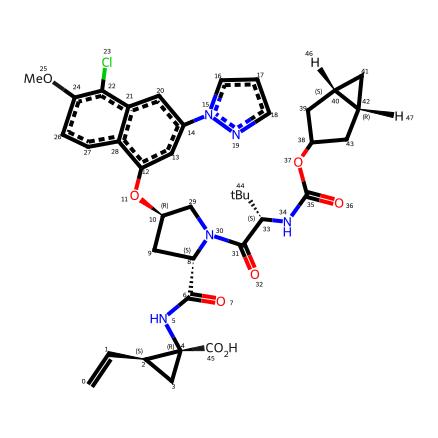 C=C[C@@H]1C[C@]1(NC(=O)[C@@H]1C[C@@H](Oc2cc(-n3cccn3)cc3c(Cl)c(OC)ccc23)CN1C(=O)[C@@H](NC(=O)OC1C[C@@H]2C[C@@H]2C1)C(C)(C)C)C(=O)O